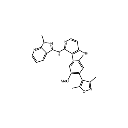 COc1cc2c(cc1-c1c(C)noc1C)[nH]c1ccnc(Nc3nn(C)c4ncccc34)c12